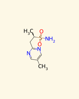 Cc1cnc(C[C@@H](C)S(N)(=O)=O)nc1